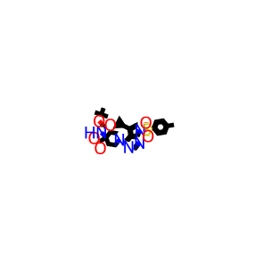 COC(=O)C1(NC(=O)OC(C)(C)C)CCN(c2ncnc3c2c(C2CC2)cn3S(=O)(=O)c2ccc(C)cc2)CC1